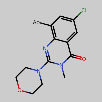 CC(=O)c1cc(Cl)cc2c(=O)n(C)c(N3CCOCC3)nc12